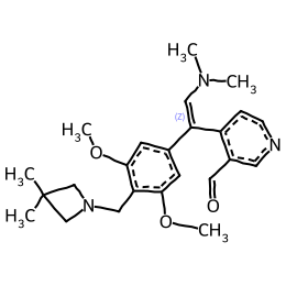 COc1cc(/C(=C/N(C)C)c2ccncc2C=O)cc(OC)c1CN1CC(C)(C)C1